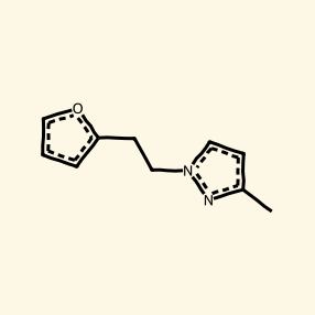 Cc1ccn(CCc2ccco2)n1